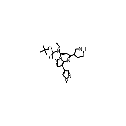 CCN(C(=O)OC(C)(C)C)c1cc(C2CCCNC2)nc2c(-c3cnn(C)c3)cnn12